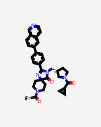 CC(C)C(=O)N1CCC2(CC1)N=C(c1ccc(-c3ccc4cnccc4c3)cc1)N(C[C@@H]1CCN(C(=O)C3CC3)C1)C2=O